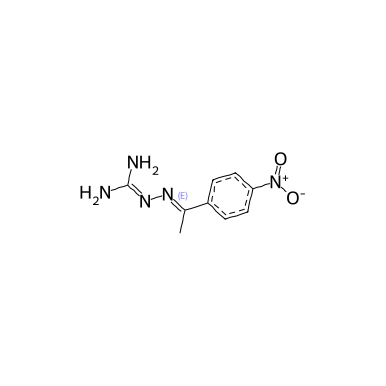 C/C(=N\N=C(N)N)c1ccc([N+](=O)[O-])cc1